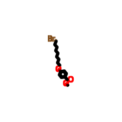 COC(=O)c1ccc(OCCCCCCCCCBr)cc1